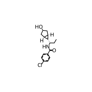 CCC(NC(=O)c1ccc(Cl)cc1)[C@H]1[C@@H]2C[C@H](O)C[C@@H]21